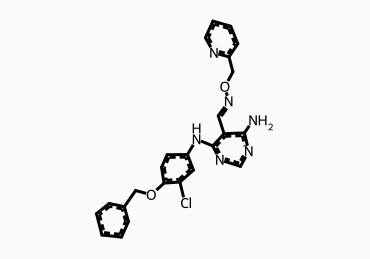 Nc1ncnc(Nc2ccc(OCc3ccccc3)c(Cl)c2)c1/C=N/OCc1ccccn1